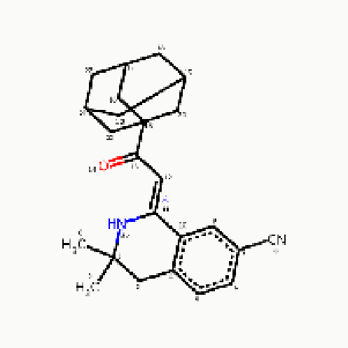 CC1(C)Cc2ccc(C#N)cc2/C(=C/C(=O)C23CC4CC(CC(C4)C2)C3)N1